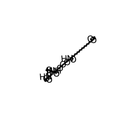 CC(C)(C)OC(=O)CCCCCCCCCCCCCCCCC(=O)NCCOCCOCCOCCNC(=O)[C@H](CCCNC(=O)OC(C)(C)C)NC(=O)OC(C)(C)C